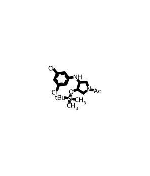 CC(=O)N1CC(Nc2cc(Cl)cc(Cl)c2)C(O[Si](C)(C)C(C)(C)C)C1